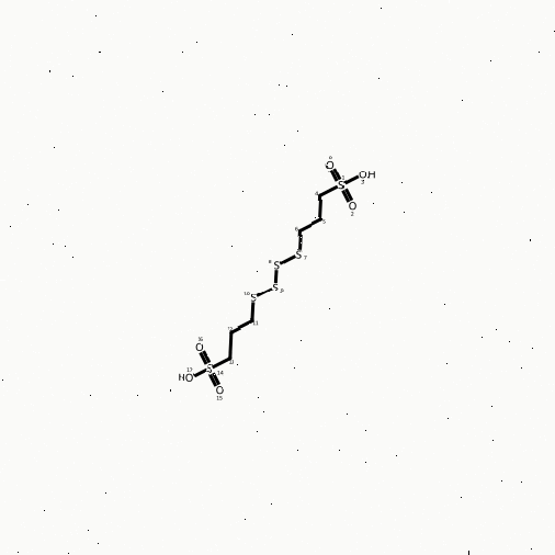 O=S(=O)(O)CCCSSSSCCCS(=O)(=O)O